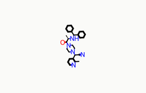 Cc1ncccc1C(C#N)N1CCN(C(=O)[C@@H](C)NC(c2ccccc2)c2ccccc2)CC1